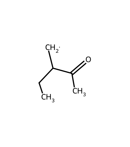 [CH2]C(CC)C(C)=O